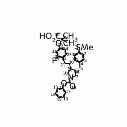 CSc1ccc(C[C@@H]2CN(C(=O)Oc3ccccc3)C[C@H]2CCc2ccc(OC(C)(C)C(=O)O)cc2F)cc1